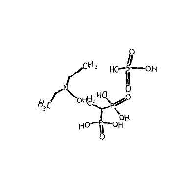 CC(P(=O)(O)O)P(=O)(O)O.CCN(O)CC.O=S(=O)(O)O